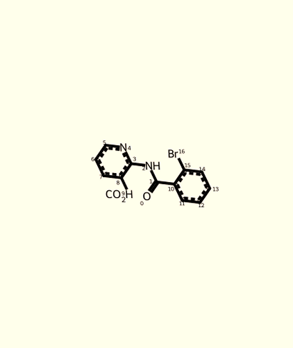 O=C(Nc1ncccc1C(=O)O)c1ccccc1Br